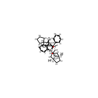 Cc1nc2ccccc2n1[C@@H]1C[C@H]2CC[C@@H](C1)N2CC[C@H](NC(=O)C1(O)CCCC1)c1ccccc1